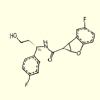 O=C(N[C@@H](CCO)c1ccc(F)cc1)C1C2Oc3ccc(F)cc3C21